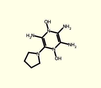 NC1=C(N)N(O)C(N2CCCC2)=C(N)N1O